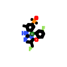 Cc1cc(P(C)(C)=O)ccc1Nc1ncc(CF)c(Oc2ccc(F)cc2Cl)n1